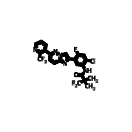 CC(C)(C(=O)Nc1cc(-c2cn3nc(-c4cccnc4C(F)(F)F)ccc3n2)c(F)cc1Cl)C(F)(F)F